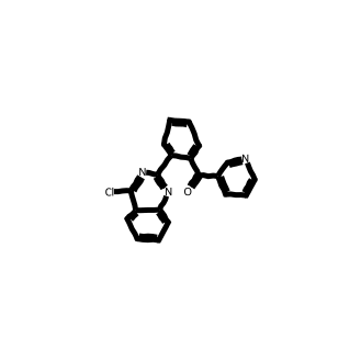 O=C(c1cccnc1)c1ccccc1-c1nc(Cl)c2ccccc2n1